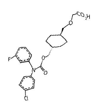 O=C(O)COC[C@H]1CC[C@H](COC(=O)N(c2ccc(Cl)cc2)c2cccc(F)c2)CC1